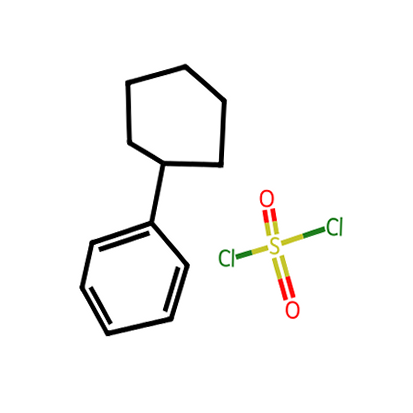 O=S(=O)(Cl)Cl.c1ccc(C2CCCCC2)cc1